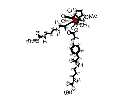 CO[C@@H]1CC[C@]23CC[C@@H](C)[C@](C)([C@H]12)[C@H](OC(=O)CSc1ccc(CC(=O)NCCCNC(=O)OC(C)(C)C)cc1)C[C@](C)(CCNCCCNC(=O)OC(C)(C)C)C(=O)[C@@H]3C